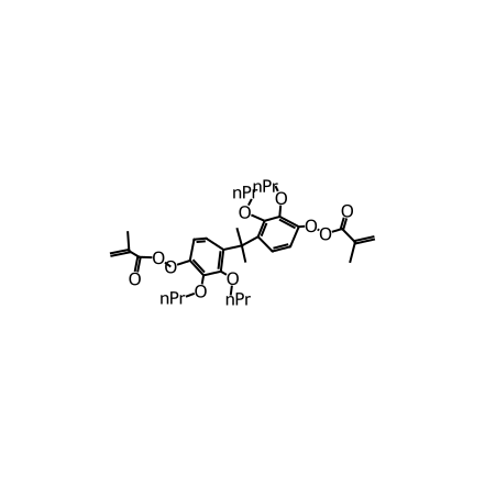 C=C(C)C(=O)OOc1ccc(C(C)(C)c2ccc(OOC(=O)C(=C)C)c(OCCC)c2OCCC)c(OCCC)c1OCCC